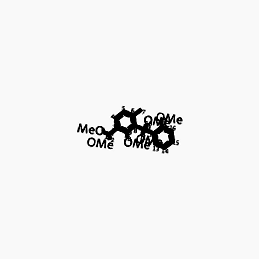 CO[C](OC)c1ccc(C)c(C(OC)(OC)c2ccccc2OC)c1OC